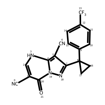 N#Cc1c[nH]c2c(C#N)c(C3(c4ccc(C(F)(F)F)cc4)CC3)nn2c1=O